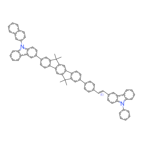 CC1(C)c2cc(-c3ccc(/C=C/c4ccc5c(c4)c4ccccc4n5-c4ccccc4)cc3)ccc2-c2cc3c(cc21)-c1ccc(-c2ccc4c(c2)c2ccccc2n4-c2ccc4ccccc4c2)cc1C3(C)C